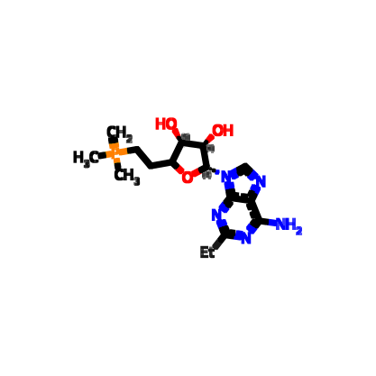 C=P(C)(C)CCC1O[C@@H](n2cnc3c(N)nc(CC)nc32)[C@H](O)[C@@H]1O